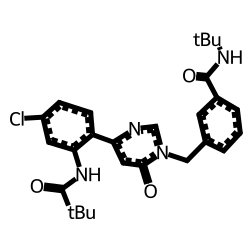 CC(C)(C)NC(=O)c1cccc(Cn2cnc(-c3ccc(Cl)cc3NC(=O)C(C)(C)C)cc2=O)c1